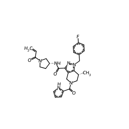 C=CC(=O)N1CC[C@@H](NC(=O)c2nn(Cc3ccc(F)cc3)c3c2CN(C(=O)c2ccc[nH]2)C[C@H]3C)C1